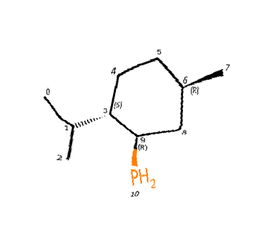 CC(C)[C@@H]1CC[C@@H](C)C[C@H]1P